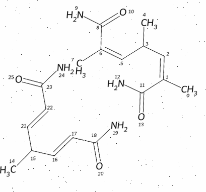 CC(=CC(C)C=C(C)C(N)=O)C(N)=O.CC(C=CC(N)=O)C=CC(N)=O